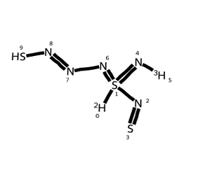 [2H]S(N=S)(=N[3H])=N/N=N/S